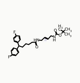 CC(C)(C)OC(=O)NC/C=C/CNC(=O)CCCCC(c1ccc(F)cc1)c1ccc(F)cc1